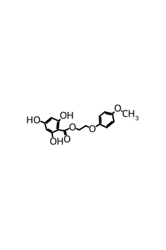 COc1ccc(OCCOC(=O)c2c(O)cc(O)cc2O)cc1